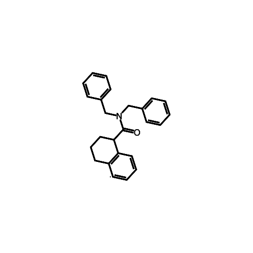 O=C(C1CCCc2[c]cccc21)N(Cc1ccccc1)Cc1ccccc1